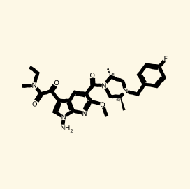 CCN(C)C(=O)C(=O)c1cn(N)c2nc(OC)c(C(=O)N3C[C@H](C)N(Cc4ccc(F)cc4)C[C@H]3C)cc12